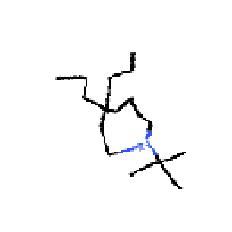 CCCC1(CCC)CCN(C(C)(C)C)CC1